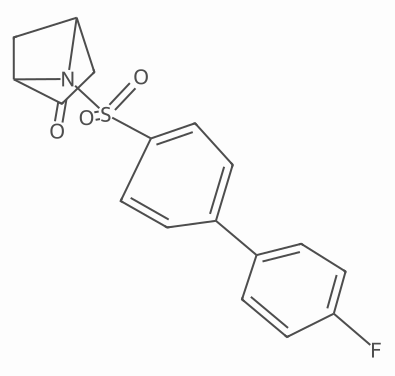 O=C1CC2CC1N2S(=O)(=O)c1ccc(-c2ccc(F)cc2)cc1